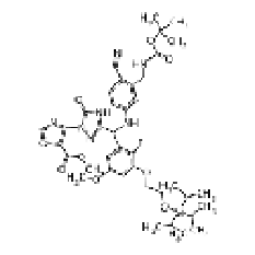 COC(=O)c1ocnc1-n1nc(C(Nc2ccc(C#N)c(CNC(=O)OC(C)(C)C)c2)c2cc(OC)cc(OCCO[Si](C(C)C)(C(C)C)C(C)C)c2F)[nH]c1=O